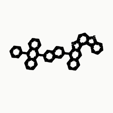 c1ccc(-c2c3ccccc3c(-c3ccc4cc(-c5c6ccccc6cc6c5sc5ccc7sc8ccccc8c7c56)ccc4c3)c3ccccc23)cc1